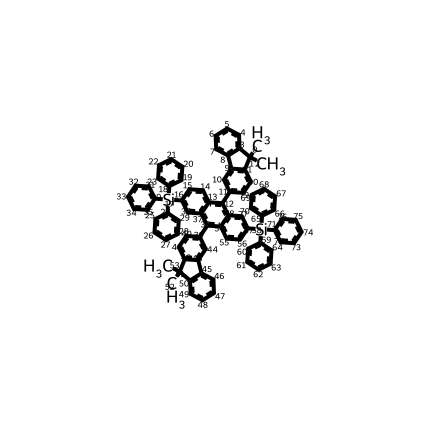 CC1(C)c2ccccc2-c2cc(-c3c4ccc([Si](c5ccccc5)(c5ccccc5)c5ccccc5)cc4c(-c4ccc5c(c4)-c4ccccc4C5(C)C)c4ccc([Si](c5ccccc5)(c5ccccc5)c5ccccc5)cc34)ccc21